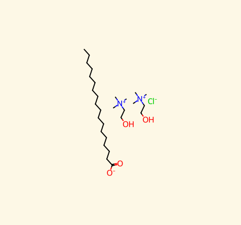 CCCCCCCCCCCCCCCCCC(=O)[O-].C[N+](C)(C)CCO.C[N+](C)(C)CCO.[Cl-]